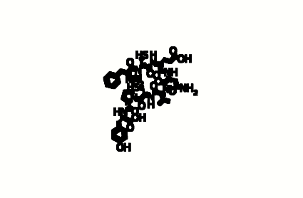 CC(C)[C@H](NC(=O)[C@H](CC(N)=O)NC(=O)[C@H](CCC(=O)O)NC(=O)[C@H](CS)NC(=O)[C@@H](N)Cc1ccccc1)C(=O)N[C@@H](CS)C(=O)N1CCC[C@H]1C(=O)N[C@@H](Cc1ccc(O)cc1)C(=O)O